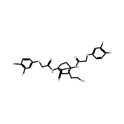 CCCN1C(=O)C2(NC(=O)COc3ccc(Cl)c(F)c3)CCC1(NC(=O)COc1ccc(Cl)c(F)c1)CC2